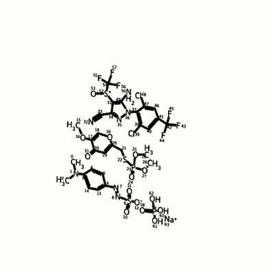 CN(C)c1ccc(/N=N/S(=O)(=O)[O-])cc1.COc1coc(CSP(=O)(OC)OC)cc1=O.N#Cc1nn(-c2c(Cl)cc(C(F)(F)F)cc2Cl)c(N)c1[S+]([O-])C(F)(F)F.O=P(O)(O)O.[Na+]